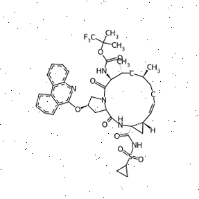 C[C@H]1CC/C=C\[C@@H]2C[C@@]2(C(=O)NS(=O)(=O)C2CC2)NC(=O)C2C[C@@H](Oc3nc4ccccc4c4ccccc34)CN2C(=O)[C@@H](NC(=O)OC(C)(C)C(F)(F)F)[C@H](C)C1